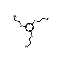 CC(C)CCOc1cc(OCCC(C)C)cc(OCCC(C)(C)C)c1